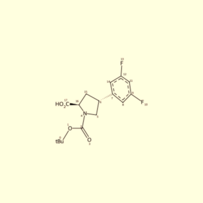 CC(C)(C)OC(=O)N1C[C@@H](c2cc(F)cc(F)c2)C[C@@H]1C(=O)O